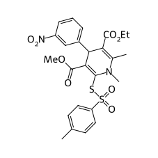 CCOC(=O)C1=C(C)N(C)C(SS(=O)(=O)c2ccc(C)cc2)=C(C(=O)OC)C1c1cccc([N+](=O)[O-])c1